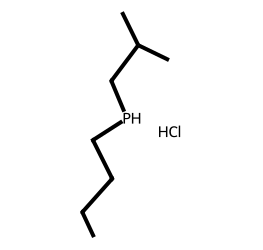 CCCCPCC(C)C.Cl